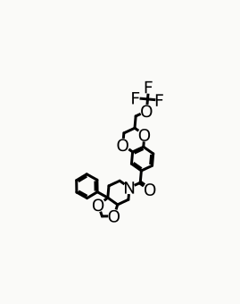 O=C(c1ccc2c(c1)OCC(COC(F)(F)F)O2)N1CCC2(c3ccccc3)OCOC2C1